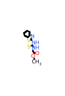 CCOC(=O)CNC(=S)Nc1nc2ccccc2s1